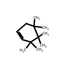 CC1(C)C=CCC(C)(C)C1(C)C